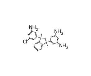 CC1(c2cc(N)cc(N)c2)CC(C)(c2cc(N)cc(Cl)c2)c2ccccc21